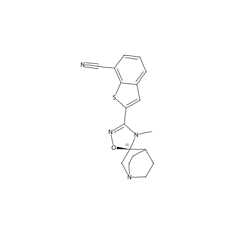 CN1C(c2cc3cccc(C#N)c3s2)=NO[C@@]12CN1CCC2CC1